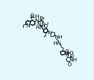 CCOc1cc(N2CCC(NCCNCCCc3cccc4c3oc(=O)n4C3CCC(=O)NC3=O)CC2)c(CC)cc1Nc1ncc(Br)c(Nc2ccc3nc(CC)ccc3c2P(C)(C)=O)n1